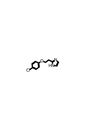 Clc1ccc(OCCc2ncc[nH]2)cc1